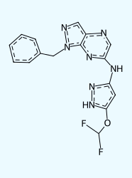 FC(F)Oc1cc(Nc2cnc3cnn(Cc4ccccc4)c3n2)n[nH]1